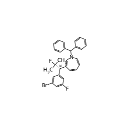 CC(C)(F)[C@H](C1=CN(C(c2ccccc2)c2ccccc2)C=CC=C1)c1cc(F)cc(Br)c1